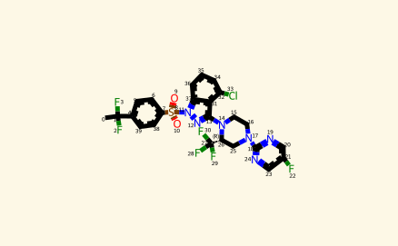 CC(F)(F)c1ccc(S(=O)(=O)n2nc(N3CCN(c4ncc(F)cn4)C[C@@H]3C(F)(F)F)c3c(Cl)cccc32)cc1